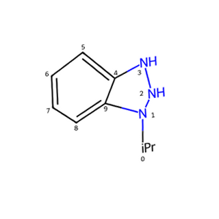 CC(C)N1NNc2ccccc21